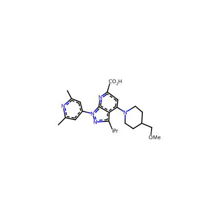 COCC1CCN(c2cc(C(=O)O)nc3c2c(C(C)C)nn3-c2cc(C)nc(C)c2)CC1